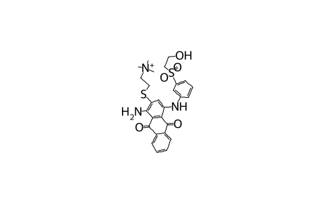 C[N+](C)(C)CCSc1cc(Nc2cccc(S(=O)(=O)CCO)c2)c2c(c1N)C(=O)c1ccccc1C2=O